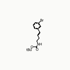 CC(C)(C)OC(=O)NCCC=Cc1cccc(Br)c1